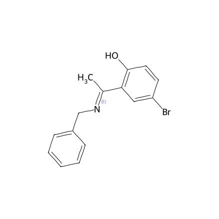 C/C(=N\Cc1ccccc1)c1cc(Br)ccc1O